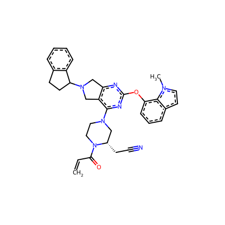 C=CC(=O)N1CCN(c2nc(Oc3cccc4ccn(C)c34)nc3c2CN(C2CCc4ccccc42)C3)C[C@@H]1CC#N